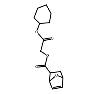 O=C(COC(=O)C1CC2C=CC1O2)OC1CCCCC1